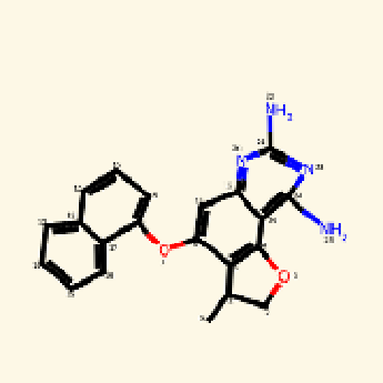 CC1COc2c1c(Oc1cccc3ccccc13)cc1nc(N)nc(N)c21